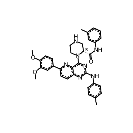 COc1ccc(-c2ccc3nc(Nc4ccc(C)cc4)nc(N4CCNC[C@@H]4C(=O)Nc4cccc(C)c4)c3n2)cc1OC